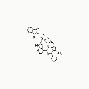 C=C(/N=C(\c1sc(CN2CCN(S(=O)(=O)CCN3C(=O)c4ccccc4C3=O)CC2)cc1N)C1CCOCC1)c1cccc2[nH]ncc12